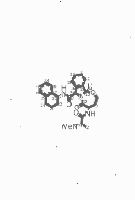 CN[C@@H](C)C(=O)N[C@H]1CCO[C@H]2c3ccccc3C(C(=O)N[C@@H]3CCCc4ccccc43)N2C1=O